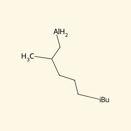 CCC(C)CCCC(C)[CH2][AlH2]